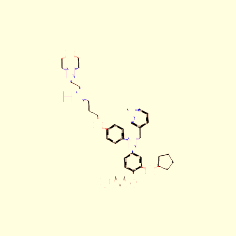 COc1ccc(N(Cc2cccnc2)c2ccc(OCCCNCCN3CCOCC3)cc2)cc1OC1CCCC1